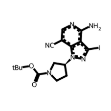 CC(C)(C)OC(=O)N1CC[C@H](n2nc(I)c3c(N)ncc(C#N)c32)C1